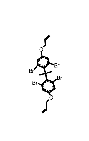 C=CCOc1cc(Br)c(C(C)(C)c2c(Br)cc(OCC=C)cc2Br)c(Br)c1